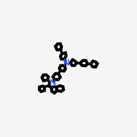 c1ccc(-c2ccc(-c3ccc(N(c4ccc(-c5ccccc5)cc4)c4ccc(-c5ccc(-n6c(-c7ccccc7)c(-c7ccccc7)c7ccc8ccccc8c76)cc5)cc4)cc3)cc2)cc1